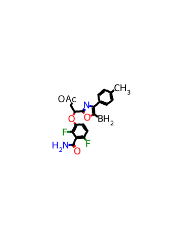 Bc1oc(C(COC(C)=O)Oc2ccc(F)c(C(N)=O)c2F)nc1-c1ccc(C)cc1